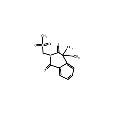 CC1(C)C(=O)N(CS(C)(=O)=O)C(=O)c2ccccc21